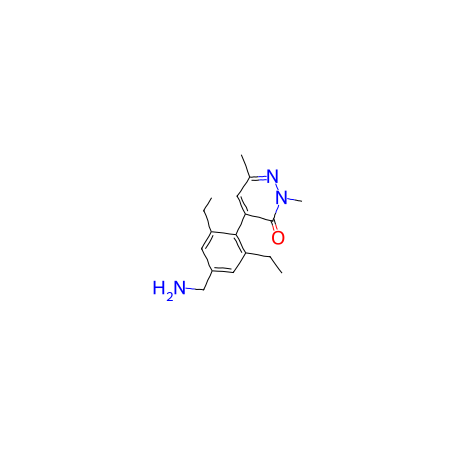 CCc1cc(CN)cc(CC)c1-c1cc(C)nn(C)c1=O